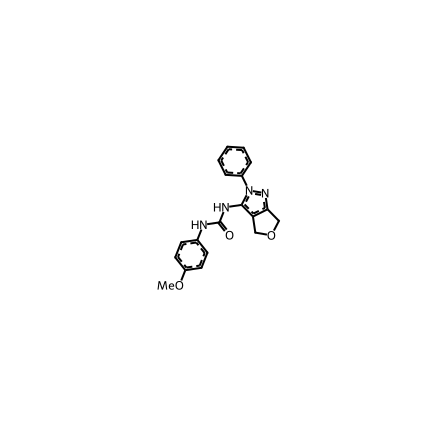 COc1ccc(NC(=O)Nc2c3c(nn2-c2ccccc2)COC3)cc1